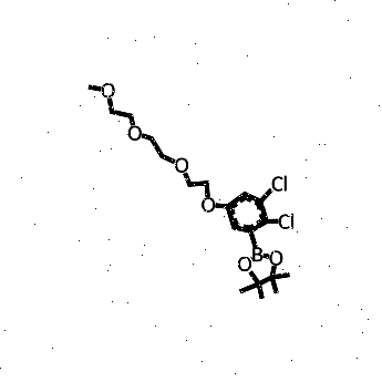 COCCOCCOCCOc1cc(Cl)c(Cl)c(B2OC(C)(C)C(C)(C)O2)c1